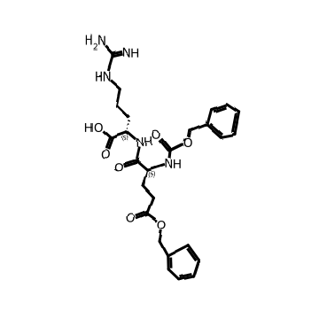 N=C(N)NCCC[C@H](NC(=O)[C@H](CCC(=O)OCc1ccccc1)NC(=O)OCc1ccccc1)C(=O)O